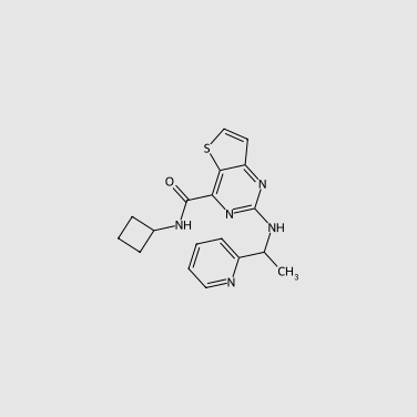 CC(Nc1nc(C(=O)NC2CCC2)c2sccc2n1)c1ccccn1